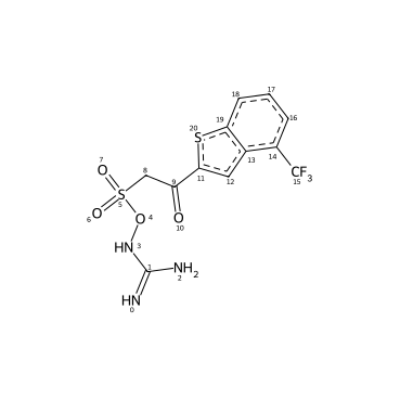 N=C(N)NOS(=O)(=O)CC(=O)c1cc2c(C(F)(F)F)cccc2s1